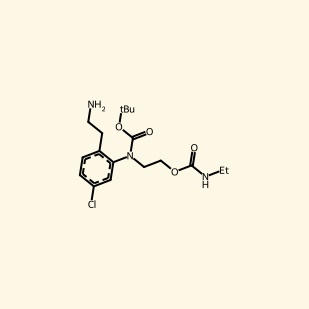 CCNC(=O)OCCN(C(=O)OC(C)(C)C)c1cc(Cl)ccc1CCN